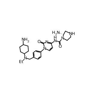 CCN(Cc1ccc(-n2ccc(NC(=O)N3CCNC[C@H]3N)nc2=O)cc1)C1CCC(N)CC1